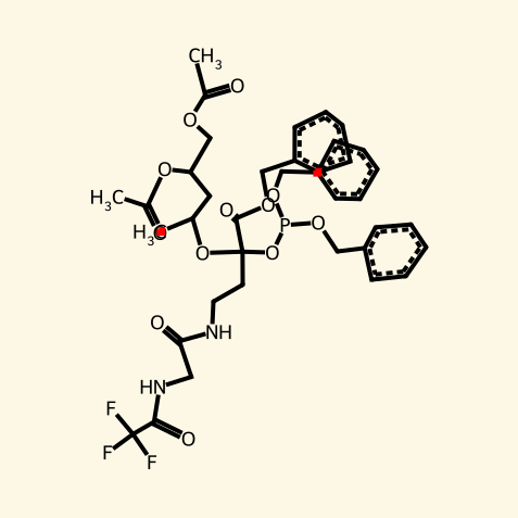 CC(=O)OCC(CC(C)OC(CCNC(=O)CNC(=O)C(F)(F)F)(OP(OCc1ccccc1)OCc1ccccc1)C(=O)OCc1ccccc1)OC(C)=O